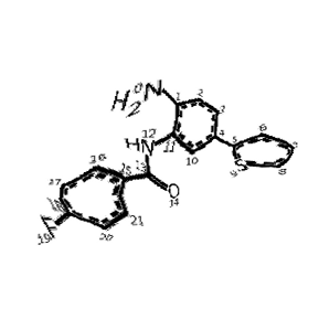 Nc1ccc(-c2cccs2)cc1NC(=O)c1ccc(F)cc1